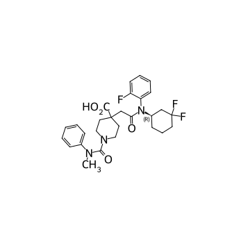 CN(C(=O)N1CCC(CC(=O)N(c2ccccc2F)[C@@H]2CCCC(F)(F)C2)(C(=O)O)CC1)c1ccccc1